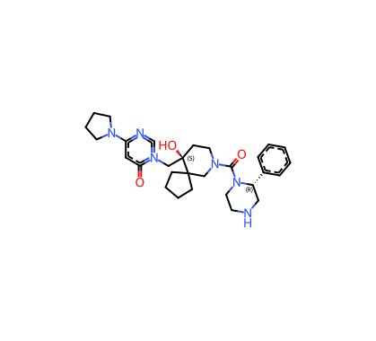 O=C(N1CC[C@@](O)(Cn2cnc(N3CCCC3)cc2=O)C2(CCCC2)C1)N1CCNC[C@H]1c1ccccc1